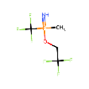 CP(=N)(OCC(F)(F)F)C(F)(F)F